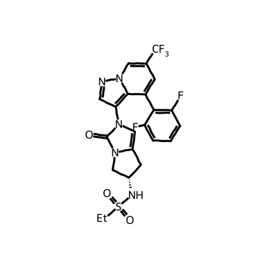 CCS(=O)(=O)N[C@H]1Cc2cn(-c3cnn4cc(C(F)(F)F)cc(-c5c(F)cccc5F)c34)c(=O)n2C1